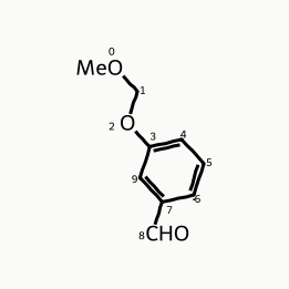 COCOc1cc[c]c(C=O)c1